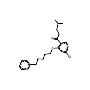 CC(C)COC(=O)c1cnc(Cl)cc1OCCCOCc1ccccc1